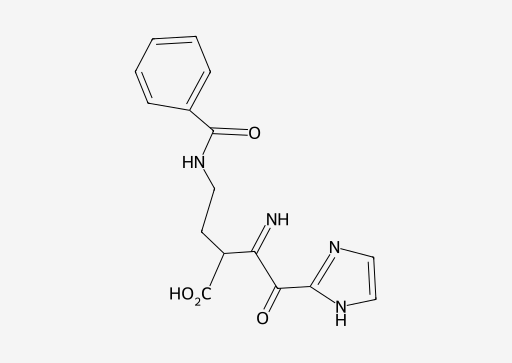 N=C(C(=O)c1ncc[nH]1)C(CCNC(=O)c1ccccc1)C(=O)O